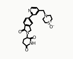 O=C1CCC(N2Cc3cc(-c4cc(CN5CC[S+]([O-])CC5)ccn4)ccc3C2=O)C(=O)N1